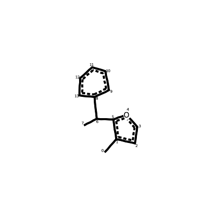 Cc1ccoc1C(C)c1ccccc1